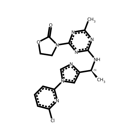 Cc1nc(N[C@@H](C)c2cn(-c3cccc(Cl)n3)cn2)nc(N2CCOC2=O)n1